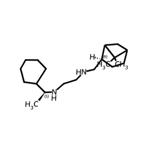 C[C@H](NCCNC[C@@H]1CCC2CC1C2(C)C)C1CCCCC1